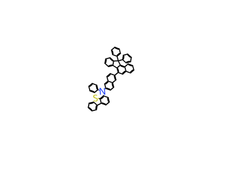 c1ccc(N(c2ccc3cc(-c4cc5ccccc5c5c4-c4ccccc4C5(c4ccccc4)c4ccccc4)ccc3c2)c2cccc3c2sc2ccccc23)cc1